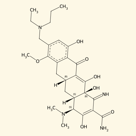 CCCN(CC)Cc1cc(O)c2c(c1OC)C[C@H]1C[C@H]3[C@H](N(C)C)C(O)=C(C(N)=O)C(=N)[C@@]3(O)C(O)=C1C2=O